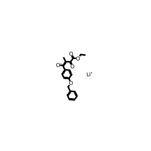 CCOC(=O)C(=O)C(C)=C([O-])c1ccc(OCc2ccccc2)cc1.[Li+]